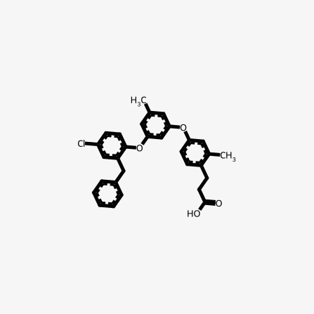 Cc1cc(Oc2ccc(CCC(=O)O)c(C)c2)cc(Oc2ccc(Cl)cc2Cc2ccccc2)c1